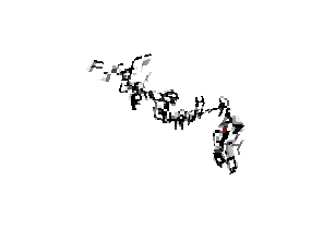 Cc1cc(NCCCCCC(=O)N(C)CCN2CCC(OC(=O)Nc3ccccc3-c3ccccc3)CC2)sc1C(=O)N(C)CCN(C)C(=O)CO[C@H]1Cc2ccccc2C12CCN(CC[C@]1(c3ccc(F)cc3)CN(C(=O)c3cc(C(F)(F)F)cc(C(F)(F)F)c3)CO1)CC2